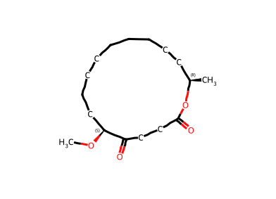 CO[C@H]1CCCCCCCCC[C@@H](C)OC(=O)CCC1=O